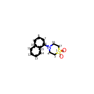 O=S1(=O)CCN(c2cccc3ccccc23)CC1